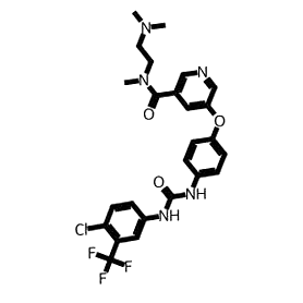 CN(C)CCN(C)C(=O)c1cncc(Oc2ccc(NC(=O)Nc3ccc(Cl)c(C(F)(F)F)c3)cc2)c1